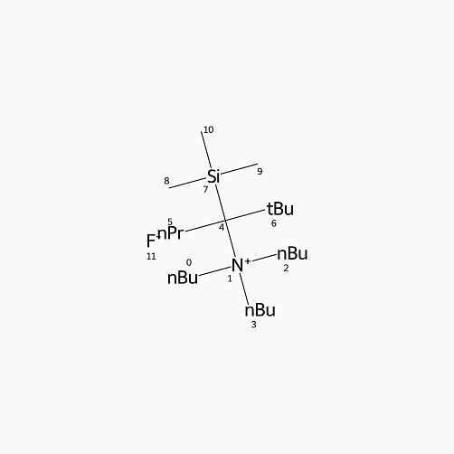 CCCC[N+](CCCC)(CCCC)C(CCC)(C(C)(C)C)[Si](C)(C)C.[F-]